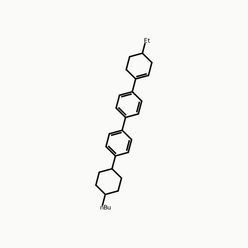 CCCCC1CCC(c2ccc(-c3ccc(C4=CCC(CC)CC4)cc3)cc2)CC1